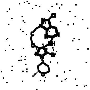 C[C@@H]1C[C@H](n2nc3c(c2Br)Nc2ncc4c(Cl)nn(c4n2)CCCO3)CCO1